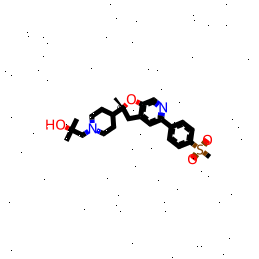 CC(C)(O)CN1CCC([C@@]2(C)Cc3cc(-c4ccc(S(C)(=O)=O)cc4)ncc3O2)CC1